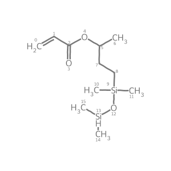 C=CC(=O)OC(C)CC[Si](C)(C)O[SiH](C)C